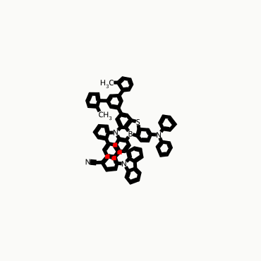 Cc1ccccc1-c1cc(-c2cc3c4c(c2)N(c2ccccc2-c2ccccc2)c2cc(-c5cc(C#N)ccc5-n5c6ccccc6c6ccccc65)ccc2B4c2ccc(N(c4ccccc4)c4ccccc4)cc2S3)cc(-c2ccccc2C)c1